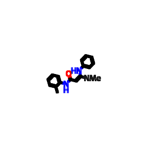 CN/C(=C/C(=O)Nc1ccccc1C)Nc1ccccc1